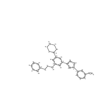 Cc1cccc(-c2nc(-c3cc(N4CCOCC4)nc(OCCc4ccccn4)n3)cs2)c1